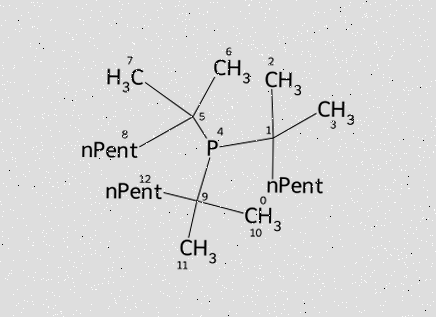 CCCCCC(C)(C)P(C(C)(C)CCCCC)C(C)(C)CCCCC